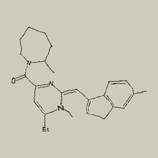 CCC1=CC(C(=O)N2CCCCCC2C)=N/C(=C/C2=CCc3cc(C)ccc32)N1C